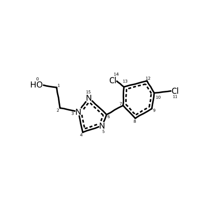 OCCn1cnc(-c2ccc(Cl)cc2Cl)n1